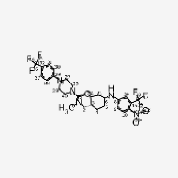 CN(C[C@H]1CC[C@H](Nc2ccc([N+](=O)[O-])c(C(F)(F)F)c2)CC1)C(=O)N1CCN(c2ccc(C(F)(F)F)cc2)CC1